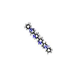 c1ccc(-[n+]2ccc(-c3ccc(-c4ccc(-c5cc[n+](-c6ccccc6)cc5)nc4)cn3)cc2)cc1